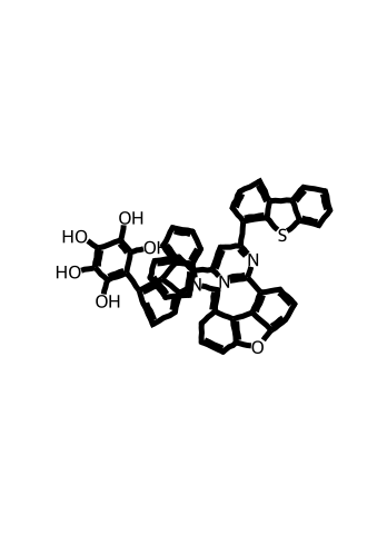 Oc1c(O)c(O)c(-c2cccc3c2c2ccccc2n3C=C2CC=Cc3oc4cccc(-c5nc(-c6ccccc6)cc(-c6cccc7c6sc6ccccc67)n5)c4c32)c(O)c1O